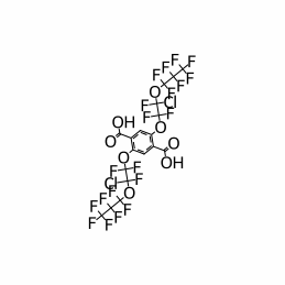 O=C(O)c1cc(OC(F)(F)C(F)(Cl)OC(F)(F)C(F)(F)C(F)(F)F)c(C(=O)O)cc1OC(F)(F)C(F)(Cl)OC(F)(F)C(F)(F)C(F)(F)F